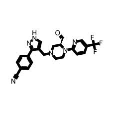 N#Cc1ccc(-c2n[nH]cc2CN2CCN(c3ccc(C(F)(F)F)cn3)[C@H](C=O)C2)cc1